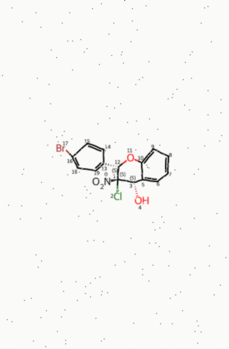 O=[N+]([O-])[C@]1(Cl)[C@@H](O)c2ccccc2O[C@H]1c1ccc(Br)cc1